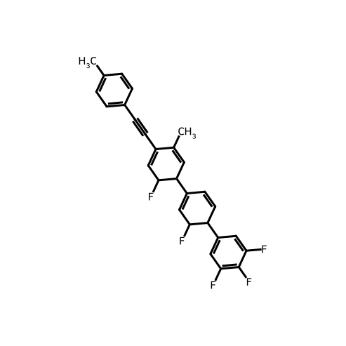 CC1=CC(C2=CC(F)C(c3cc(F)c(F)c(F)c3)C=C2)C(F)C=C1C#Cc1ccc(C)cc1